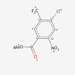 COC(=O)c1cc(C(F)(F)F)c(Cl)cc1[N+](=O)[O-]